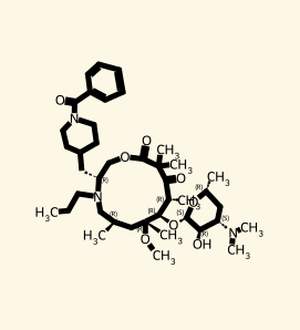 CCCN1C[C@H](C)C[C@@](C)(OC)[C@H](O[C@@H]2O[C@H](C)C[C@H](N(C)C)[C@H]2O)[C@@H](C)C(=O)C(C)(C)C(=O)OC[C@H]1CC1CCN(C(=O)c2ccccc2)CC1